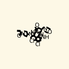 C=CC(=O)N1CCC(n2nc(N3CCC(CN4CCOCC4)CC3(C)COC)c(-c3c(Cl)c(Cl)cc4[nH]ncc34)c2C)CC1